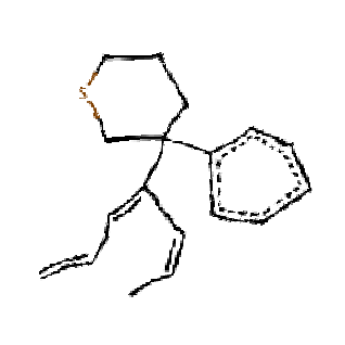 C=C/C=C(\C=C/C)C1(c2ccccc2)CCCSC1